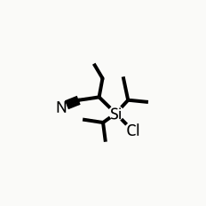 CCC(C#N)[Si](Cl)(C(C)C)C(C)C